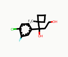 OCCC(O)(c1ccc(Cl)c(F)c1)C1(C(F)(F)F)CCC1